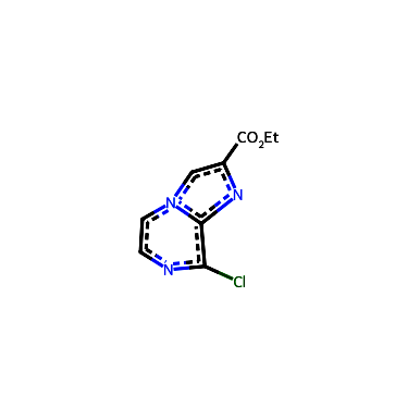 CCOC(=O)c1cn2ccnc(Cl)c2n1